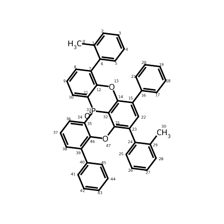 Cc1ccccc1-c1cccc2c1Oc1c(-c3ccccc3)cc(-c3ccccc3C)c3c1P2(=O)c1cccc(-c2ccccc2)c1O3